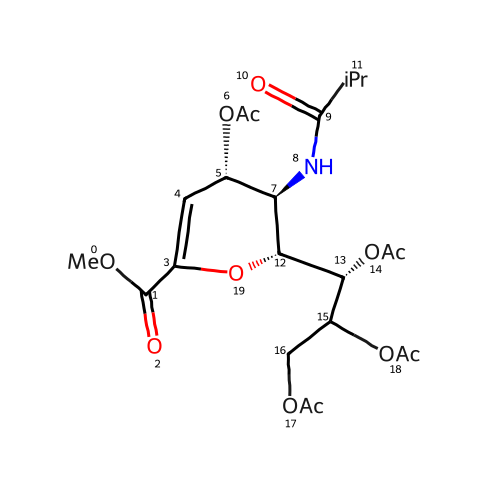 COC(=O)C1=C[C@H](OC(C)=O)[C@@H](NC(=O)C(C)C)[C@H]([C@H](OC(C)=O)C(COC(C)=O)OC(C)=O)O1